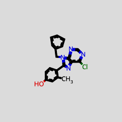 Cc1cc(O)ccc1-c1nc2c(Cl)ncnc2n1Cc1ccccc1